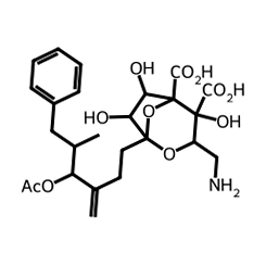 C=C(CCC12OC(CN)C(O)(C(=O)O)C(C(=O)O)(O1)C(O)C2O)C(OC(C)=O)C(C)Cc1ccccc1